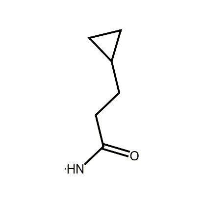 [NH]C(=O)CCC1CC1